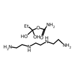 CCC(O)(O)OC(N)=O.NCCNCCNCCN